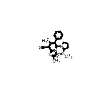 Cc1cn2c(N3CCCC3N(C)C)c(-c3ccccc3)c(C)c(C#N)c2n1